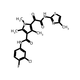 Cc1csc(NC(=O)C(=O)c2c(C)c(C(=O)Nc3ccc(F)c(Cl)c3)c(C)n2C)n1